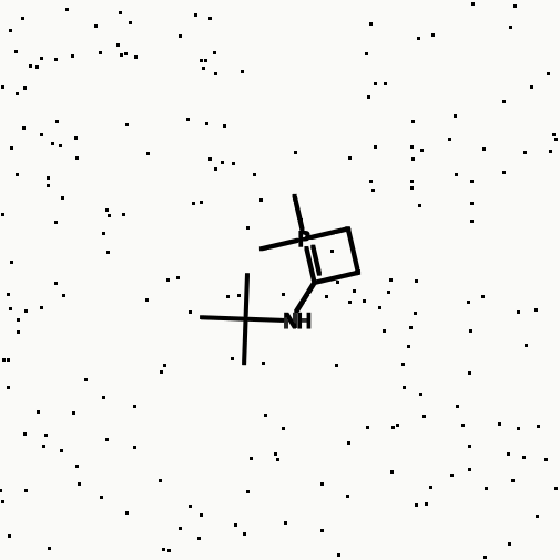 CC(C)(C)NC1=P(C)(C)CC1